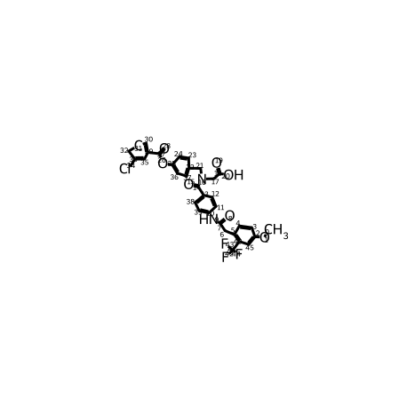 COc1ccc(CC(=O)Nc2ccc(C(=O)N(CC(=O)O)Cc3ccc(OC(=O)C4=CCCC(Cl)=C4)cc3)cc2)c(C(F)(F)F)c1